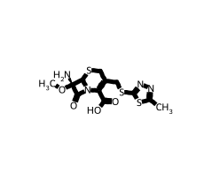 CO[C@@]1(N)C(=O)N2C(C(=O)O)=C(CSc3nnc(C)s3)CSC21